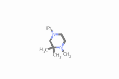 CC(C)N1CCN(C)C(C)(C)C1